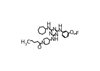 CCCCC(=O)N1CCC(Nc2nc(Nc3cccc(OCF)c3)nc(NC3CCCCCC3)n2)CC1